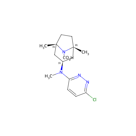 CN(c1ccc(Cl)nn1)[C@H]1C[C@]2(C)CC[C@](C)(C1)N2C(=O)O